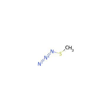 CSN=[N+]=[N-]